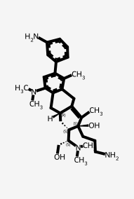 CC1=C2Cc3c(C)c(-c4cccc(N)c4)cc(N(C)C)c3C[C@H]2C[C@@H]([C@@H](CO)N(C)C)[C@@]1(O)CCCN